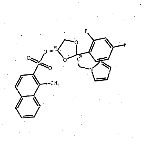 Cc1c(S(=O)(=O)O[C@@H]2CO[C@@](Cn3cccn3)(c3ccc(F)cc3F)O2)ccc2ccccc12